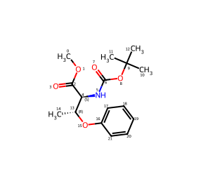 COC(=O)[C@@H](NC(=O)OC(C)(C)C)[C@@H](C)Oc1ccccc1